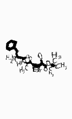 C[C@H](NC(=O)[C@@H](N)Cc1ccccc1)C(=O)C(Br)C(=O)C(=O)OC(C)(C)C